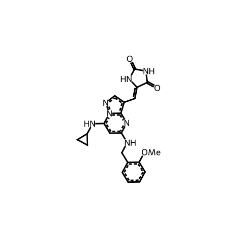 COc1ccccc1CNc1cc(NC2CC2)n2ncc(/C=C3\NC(=O)NC3=O)c2n1